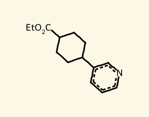 CCOC(=O)C1CCC(c2cccnc2)CC1